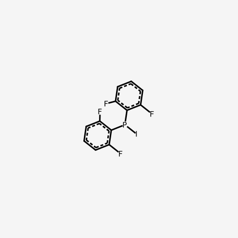 Fc1cccc(F)c1P(I)c1c(F)cccc1F